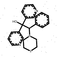 OC(c1cccnc1)(c1cccnc1)C(c1ccccc1)N1CCSCC1